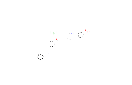 COC(=O)c1cccc(CN2CCC(CCCC(=O)c3ccc4c(c3)CCN(Cc3ccccc3)CC4)CC2)c1.Cl.Cl